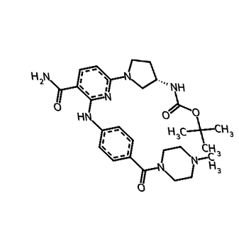 CN1CCN(C(=O)c2ccc(Nc3nc(N4CC[C@H](NC(=O)OC(C)(C)C)C4)ccc3C(N)=O)cc2)CC1